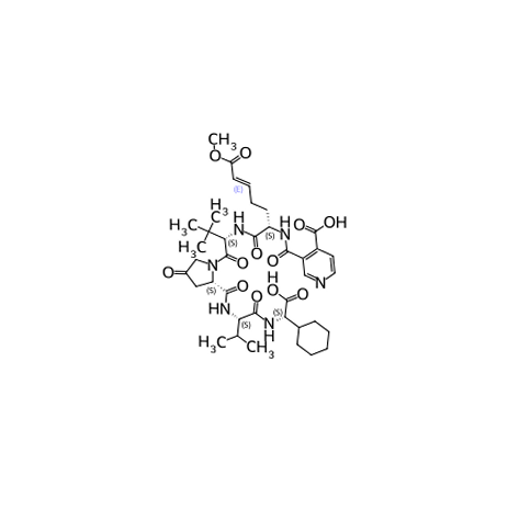 COC(=O)/C=C/CC[C@H](NC(=O)c1cnccc1C(=O)O)C(=O)N[C@H](C(=O)N1CC(=O)C[C@H]1C(=O)N[C@H](C(=O)N[C@H](C(=O)O)C1CCCCC1)C(C)C)C(C)(C)C